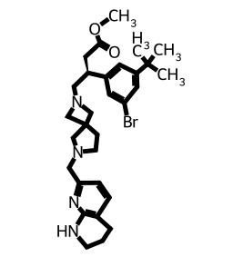 COC(=O)C[C@H](CN1CC2(CCN(Cc3ccc4c(n3)NCCC4)C2)C1)c1cc(Br)cc(C(C)(C)C)c1